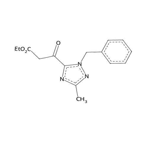 CCOC(=O)CC(=O)c1nc(C)nn1Cc1ccccc1